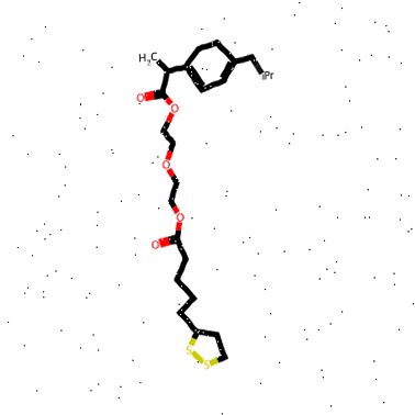 CC(C)CC1=CC=C(C(C)C(=O)OCCOCCOC(=O)CCCCC2CCSS2)CC1